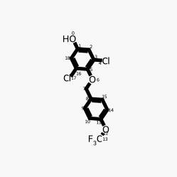 Oc1cc(Cl)c(OCc2ccc(OC(F)(F)F)cc2)c(Cl)c1